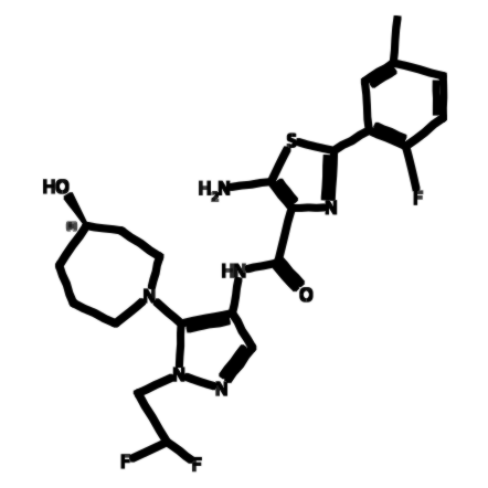 Cc1ccc(F)c(-c2nc(C(=O)Nc3cnn(CC(F)F)c3N3CCC[C@@H](O)CC3)c(N)s2)c1